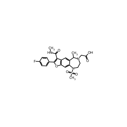 CNC(=O)c1c(-c2ccc(F)cc2)oc2cc3c(cc12)C(C)N(CC(=O)O)CCN3S(C)(=O)=O